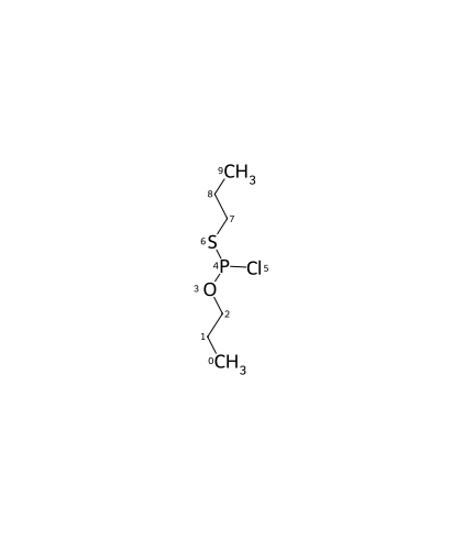 CCCOP(Cl)SCCC